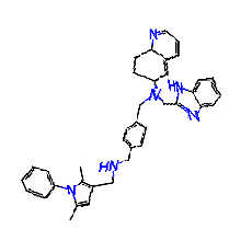 Cc1cc(CNCc2ccc(CN(Cc3nc4ccccc4[nH]3)C3C=C4C=CC=NC4CC3)cc2)c(C)n1-c1ccccc1